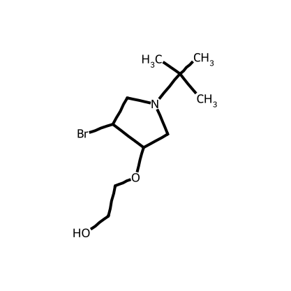 CC(C)(C)N1CC(Br)C(OCCO)C1